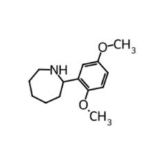 COc1ccc(OC)c(C2CCCCCN2)c1